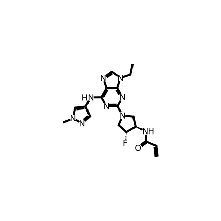 C=CC(=O)N[C@@H]1CN(c2nc(Nc3cnn(C)c3)c3ncn(CC)c3n2)C[C@H]1F